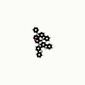 c1ccc(-n2c3ccccc3c3c4c(ccc32)c2ccccc2n4B2c3ccccc3-n3c4ccc5c6ccccc6oc5c4c4c5oc6ccccc6c5cc2c43)cc1